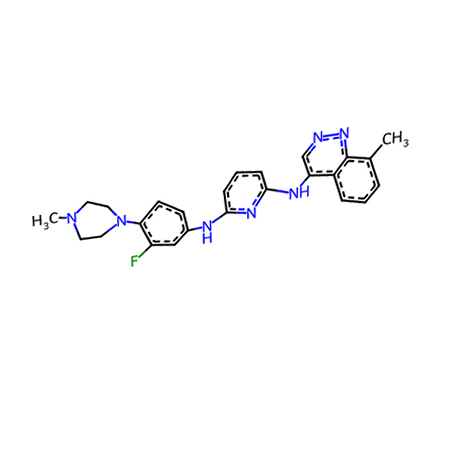 Cc1cccc2c(Nc3cccc(Nc4ccc(N5CCN(C)CC5)c(F)c4)n3)cnnc12